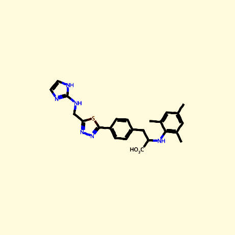 Cc1cc(C)c(NC(Cc2ccc(-c3nnc(CNc4ncc[nH]4)s3)cc2)C(=O)O)c(C)c1